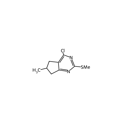 CSc1nc(Cl)c2c(n1)CC(C)C2